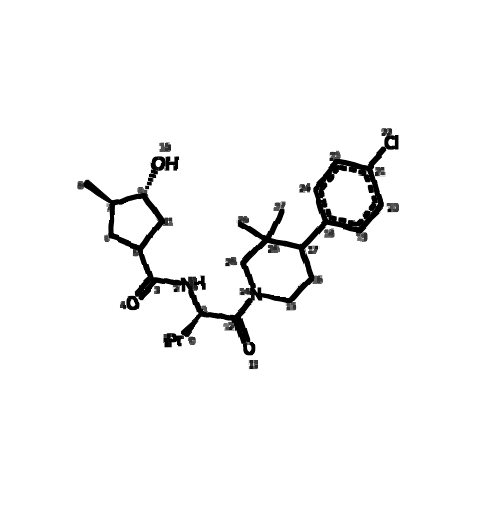 CC(C)[C@@H](NC(=O)C1C[C@@H](C)[C@H](O)C1)C(=O)N1CCC(c2ccc(Cl)cc2)C(C)(C)C1